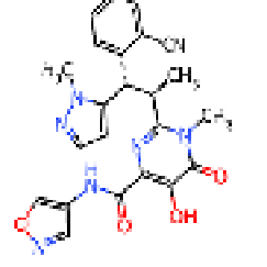 C[C@@H](c1nc(C(=O)Nc2cnoc2)c(O)c(=O)n1C)[C@@H](c1ccccc1C#N)c1ccnn1C